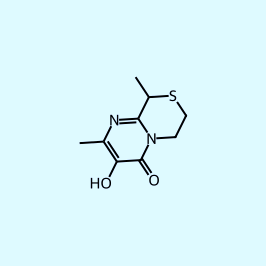 Cc1nc2n(c(=O)c1O)CCSC2C